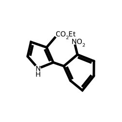 CCOC(=O)c1cc[nH]c1-c1ccccc1[N+](=O)[O-]